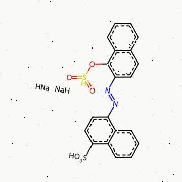 O=[SH](=O)Oc1c(N=Nc2ccc(S(=O)(=O)O)c3ccccc23)ccc2ccccc12.[NaH].[NaH]